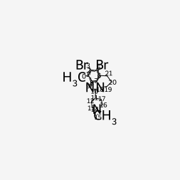 Cc1c(Br)c(Br)c2c3c1nc(C1CCN(C)CC1)n3CCC2